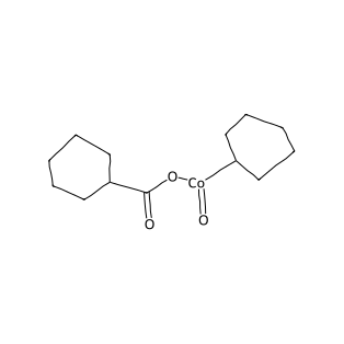 O=C([O][Co](=[O])[CH]1CCCCC1)C1CCCCC1